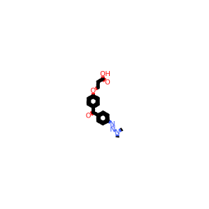 CN(C)/N=N/c1ccc(C(=O)c2ccc(OCCC(=O)O)cc2)cc1